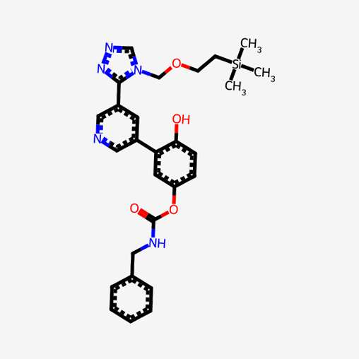 C[Si](C)(C)CCOCn1cnnc1-c1cncc(-c2cc(OC(=O)NCc3ccccc3)ccc2O)c1